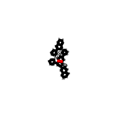 c1cc(-c2ccc3ccccc3c2)cc(N(c2ccccc2-c2ccc3oc4cc5ccccc5cc4c3c2)c2cccc3c2sc2ccccc23)c1